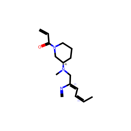 C=CC(=O)N1CCC[C@@H](N(C)C/C(=C/C=C\C)N=C)C1